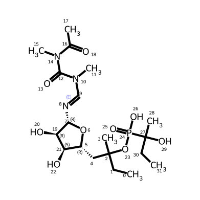 CCC(C)(C[C@H]1O[C@@H](/N=C/N(C)C(=O)N(C)C(C)=O)[C@H](O)[C@@H]1O)OP(=O)(O)C(C)(O)CC